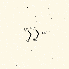 CCCl.CCO.[Co]